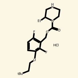 CCC1CNCCN1C(=O)OCc1c(F)ccc(OCCC(C)(C)C)c1F.Cl